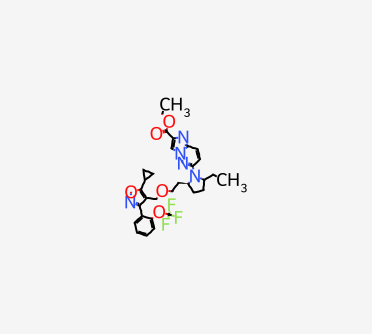 CCOC(=O)c1cn2nc(N3C(CC)CC[C@H]3CCOCc3c(-c4ccccc4OC(F)(F)F)noc3C3CC3)ccc2n1